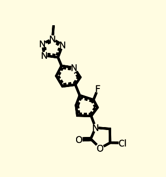 Cn1nnc(-c2ccc(-c3ccc(N4CC(Cl)OC4=O)cc3F)cn2)n1